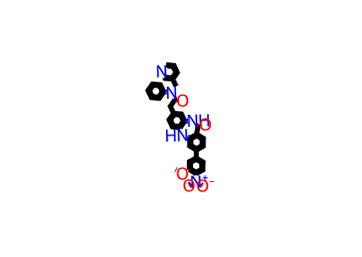 COc1cc(-c2ccc3c(c2)Nc2ccc(CC(=O)N(Cc4cccnc4)c4ccccc4)cc2NC3=O)ccc1[N+](=O)[O-]